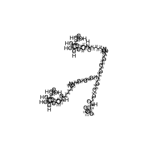 O=C(CCOCCOCCOCCN(CCOCCOCCOCCn1cc(CCCCCC(=O)Nc2ccc(O[C@H]3O[C@H](CCP(=O)(O)O)[C@@H](O)[C@H](O)[C@@H]3O)cc2)nn1)CCOCCOCCOCCn1cc(CCCCCC(=O)Nc2ccc(O[C@H]3O[C@H](CCP(=O)(O)O)[C@@H](O)[C@H](O)[C@@H]3O)cc2)nn1)NCCN1C(=O)C=CC1=O